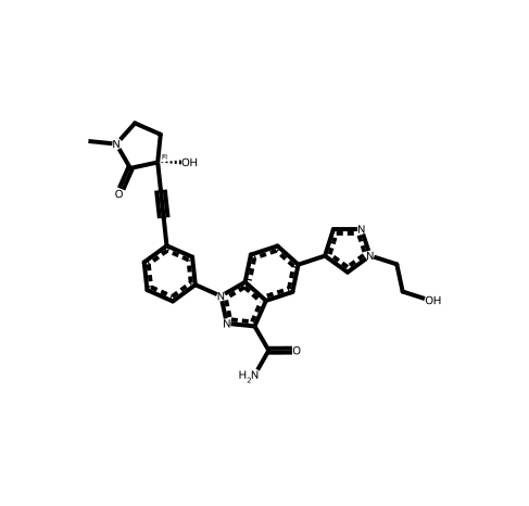 CN1CC[C@@](O)(C#Cc2cccc(-n3nc(C(N)=O)c4cc(-c5cnn(CCO)c5)ccc43)c2)C1=O